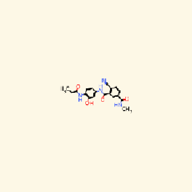 CCC(=O)Nc1ccc(NC(=O)c2cc(C(=O)NC)ccc2C#N)cc1O